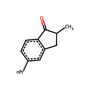 CCCc1ccc2c(c1)CC(C)C2=O